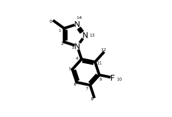 Cc1cn(-c2ccc(C)c(F)c2C)nn1